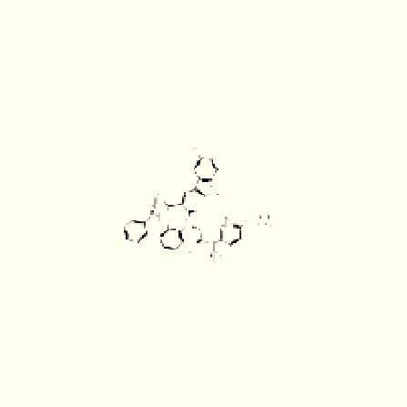 COc1ccc(N(C(=O)CN2C(=O)C(=Cc3c[nH]c4ccc(F)cc34)c3nnc(-c4ccccc4)n3-c3ccccc32)C(C)C)cn1